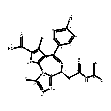 Cc1c(C(=O)O)sc2c1C(c1ccc(Cl)cc1)=N[C@@H](CC(=O)NC(C)C)c1nnc(C)n1-2